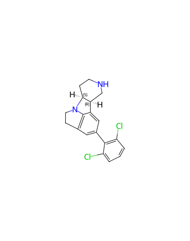 Clc1cccc(Cl)c1-c1cc2c3c(c1)[C@@H]1CNCC[C@@H]1N3CC2